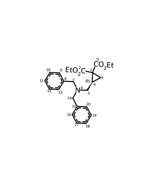 CCOC(=O)C1(C(=O)OCC)C[C@H]1CN(Cc1ccccc1)Cc1ccccc1